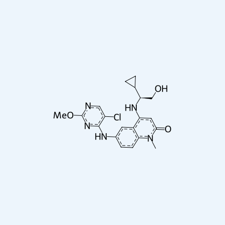 COc1ncc(Cl)c(Nc2ccc3c(c2)c(N[C@H](CO)C2CC2)cc(=O)n3C)n1